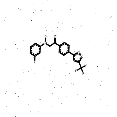 O=C(C[S+]([O-])c1cccc(F)c1)c1ccc(-c2noc(C(F)(F)F)n2)cc1